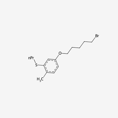 CCCSc1cc(OCCCCCBr)ccc1C